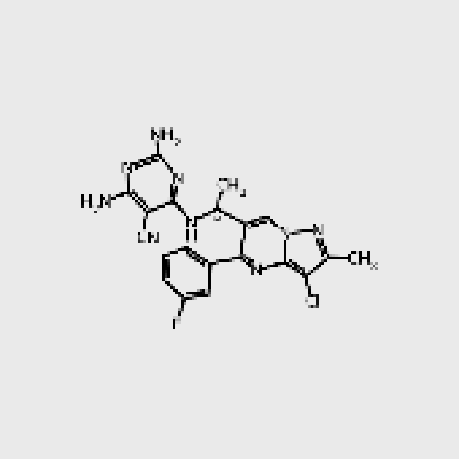 Cc1nn2cc([C@H](C)Nc3nc(N)nc(N)c3C#N)c(-c3cccc(F)c3)nc2c1Cl